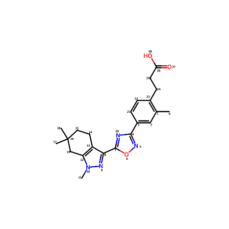 Cc1cc(-c2noc(-c3nn(C)c4c3CCC(C)(C)C4)n2)ccc1CCC(=O)O